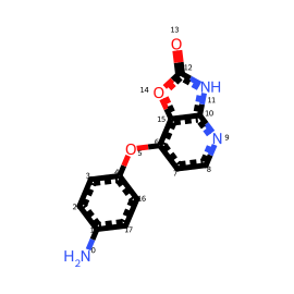 Nc1ccc(Oc2ccnc3[nH]c(=O)oc23)cc1